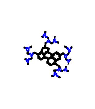 CN(C)CN(Cc1cc2c(CN(CN(C)C)CN(C)C)ccc3c4ccc(CN(CN(C)C)CN(C)C)c5cc(CN(CN(C)C)CN(C)C)cc(c(c1)c23)c54)CN(C)C